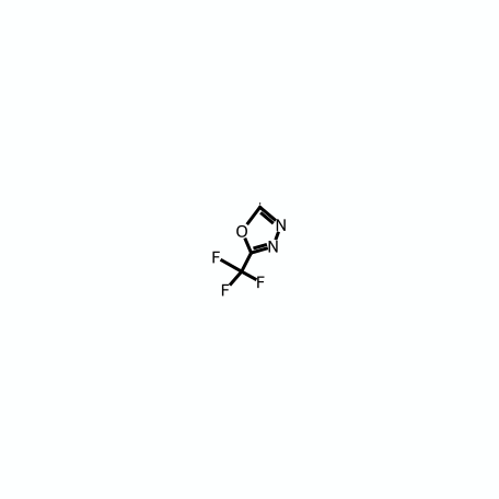 FC(F)(F)c1nn[c]o1